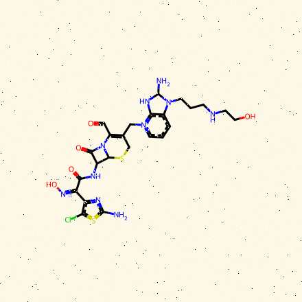 Nc1nc(/C(=N/O)C(=O)NC2C(=O)N3C(C=O)=C(C[n+]4cccc5c4NC(N)N5CCCNCCO)CSC23)c(Cl)s1